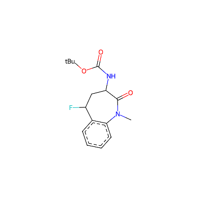 CN1C(=O)C(NC(=O)OC(C)(C)C)CC(F)c2ccccc21